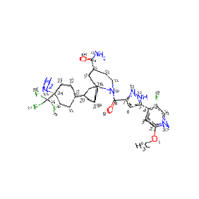 COc1cc(-c2cc(C(=O)N3CCC(C(N)=O)CC34CC4C3CCC(N)(C(F)(F)F)CC3)n[nH]2)c(F)cn1